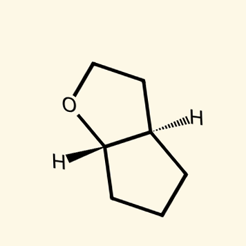 C1C[C@@H]2CCO[C@H]2C1